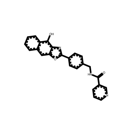 O=C(NCc1ccc(-c2nc3c(O)c4ccccc4cc3o2)cc1)c1cccnc1